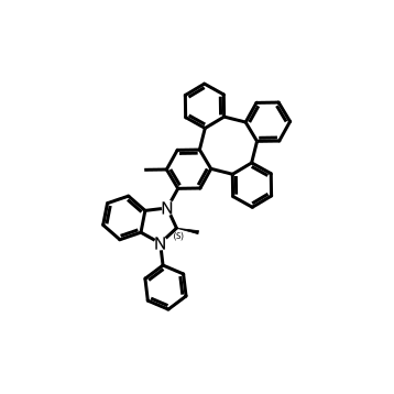 Cc1cc2c(cc1N1c3ccccc3N(c3ccccc3)[C@@H]1C)-c1ccccc1-c1ccccc1-c1ccccc1-2